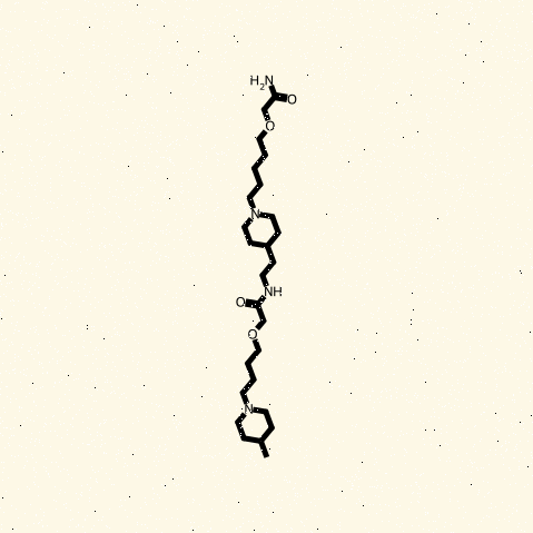 CC1CCN(CCCCOCC(=O)NCCC2CCN(CCCCCOCC(N)=O)CC2)CC1